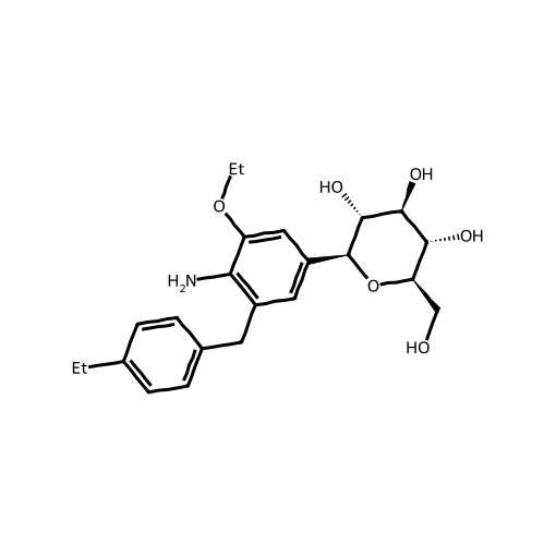 CCOc1cc([C@@H]2O[C@H](CO)[C@@H](O)[C@H](O)[C@H]2O)cc(Cc2ccc(CC)cc2)c1N